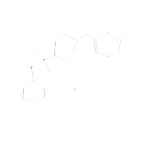 CC(C)(C(=O)N1CCOCC1)C1CCN(Cc2ccccc2)CC1.Cl